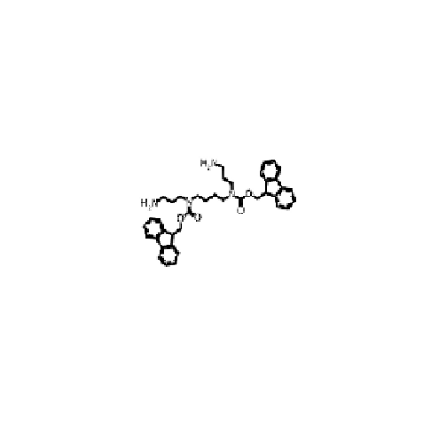 NCCCN(CCCCN(CCCN)C(=O)OCC1c2ccccc2-c2ccccc21)C(=O)OCC1c2ccccc2-c2ccccc21